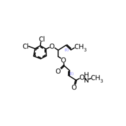 C/C=C/C(COC(=O)/C=C/C(=O)ONC)Oc1cccc(Cl)c1Cl